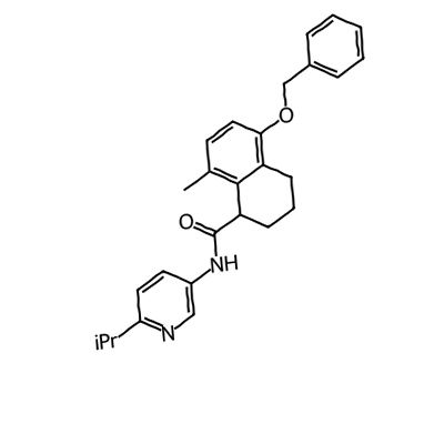 Cc1ccc(OCc2ccccc2)c2c1C(C(=O)Nc1ccc(C(C)C)nc1)CCC2